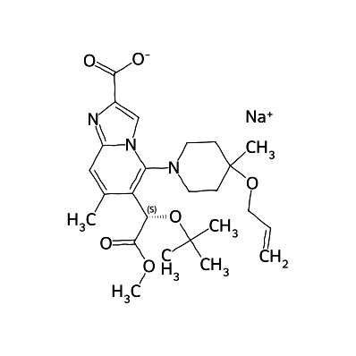 C=CCOC1(C)CCN(c2c([C@H](OC(C)(C)C)C(=O)OC)c(C)cc3nc(C(=O)[O-])cn23)CC1.[Na+]